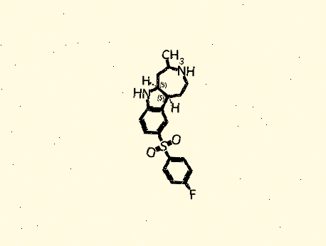 CC1C[C@@H]2Nc3ccc(S(=O)(=O)c4ccc(F)cc4)cc3[C@@H]2CCN1